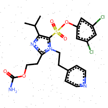 CC(C)c1nc(CCOC(N)=O)n(CCc2ccncc2)c1S(=O)(=O)Oc1cc(Cl)cc(Cl)c1